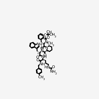 Cc1ccc(CNC(=O)[C@H](CCCNC(N)=O)NC(=O)[C@H](Cc2c[nH]c3ccccc23)NC(=O)[C@@H]2CCCCN2C(=O)[C@H](Cc2ccccc2)N(C)C(=O)OC(C)(C)C)cc1